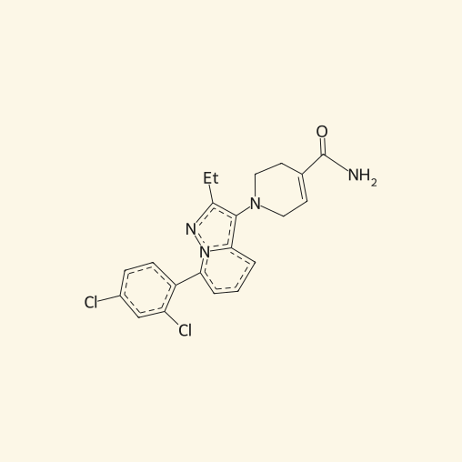 CCc1nn2c(-c3ccc(Cl)cc3Cl)cccc2c1N1CC=C(C(N)=O)CC1